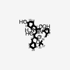 CC1CCC(O)C1NC(=O)[C@@](N)(Cc1ccc(O)cc1)C[C@H](O)[C@H](Cc1ccccc1)C(=O)OC(C)(C)C